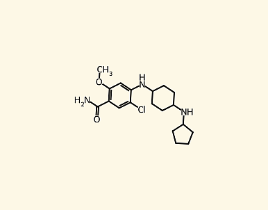 COc1cc(NC2CCC(NC3CCCC3)CC2)c(Cl)cc1C(N)=O